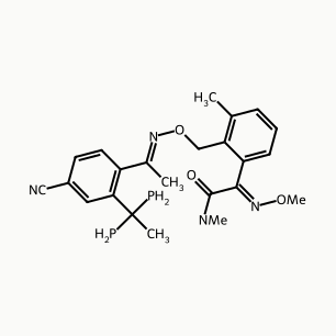 CNC(=O)/C(=N/OC)c1cccc(C)c1CO/N=C(\C)c1ccc(C#N)cc1C(C)(P)P